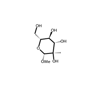 CO[C@@H]1O[C@H](CO)[C@@H](O)[C@H](O)[C@@]1(C)O